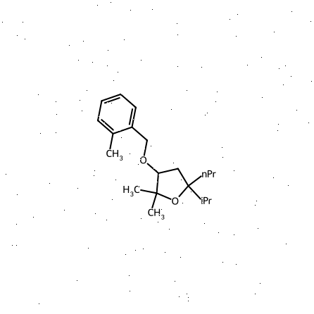 CCCC1(C(C)C)CC(OCc2ccccc2C)C(C)(C)O1